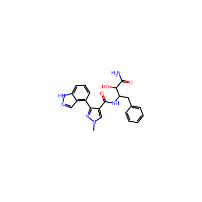 Cn1cc(C(=O)NC(Cc2ccccc2)C(O)C(N)=O)c(-c2cccc3[nH]ncc23)n1